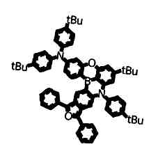 CC(C)(C)c1ccc(N(c2ccc(C(C)(C)C)cc2)c2ccc3c(c2)Oc2cc(C(C)(C)C)cc4c2B3c2cc3c(-c5ccccc5)oc(-c5ccccc5)c3cc2N4c2ccc(C(C)(C)C)cc2)cc1